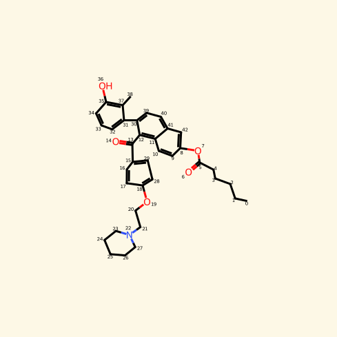 CCCCCC(=O)Oc1ccc2c(C(=O)c3ccc(OCCN4CCCCC4)cc3)c(-c3cccc(O)c3C)ccc2c1